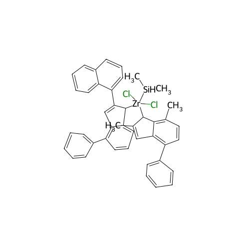 CC1=Cc2c(-c3ccccc3)ccc(C)c2[CH]1[Zr]([Cl])([Cl])([CH]1C(c2cccc3ccccc23)=Cc2c(-c3ccccc3)cccc21)[SiH](C)C